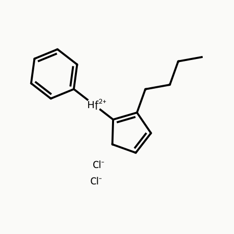 CCCCC1=[C]([Hf+2][c]2ccccc2)CC=C1.[Cl-].[Cl-]